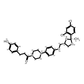 C[C@]1(c2ccc(Cl)cc2Cl)OC[C@@H](COc2ccc(N3CCN(C(=O)CCc4ccc(O)cc4)CC3)cc2)O1